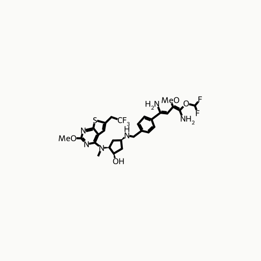 COC(/C=C(\N)c1ccc(CN[C@H]2C[C@@H](O)[C@@H](N(C)c3nc(OC)nc4sc(CC(F)(F)F)cc34)C2)cc1)=C(/N)OC(F)F